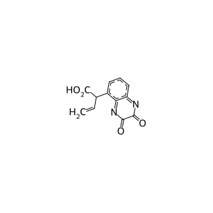 C=CC(C(=O)O)c1cccc2c1=NC(=O)C(=O)N=2